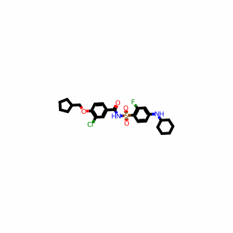 O=C(NS(=O)(=O)c1ccc(NC2CCCCC2)cc1F)c1ccc(OCC2CCCC2)c(Cl)c1